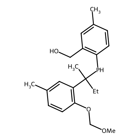 CCC(C)(Pc1ccc(C)cc1CO)c1cc(C)ccc1OCOC